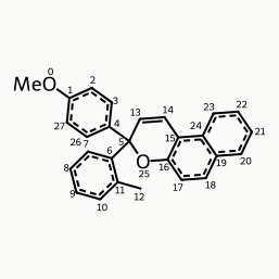 COc1ccc(C2(c3ccccc3C)C=Cc3c(ccc4ccccc34)O2)cc1